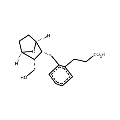 O=C(O)CCc1ccccc1C[C@@H]1[C@H](CO)[C@H]2CC[C@@H]1O2